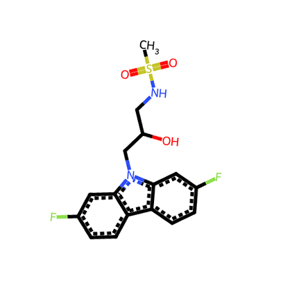 CS(=O)(=O)NCC(O)Cn1c2cc(F)ccc2c2ccc(F)cc21